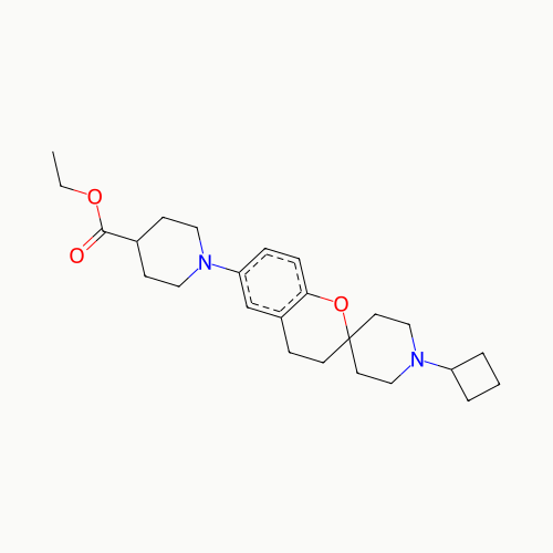 CCOC(=O)C1CCN(c2ccc3c(c2)CCC2(CCN(C4CCC4)CC2)O3)CC1